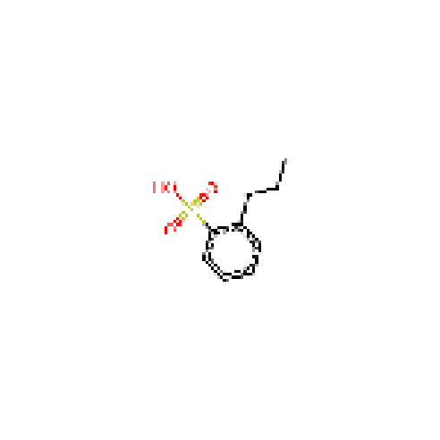 CC[CH]c1ccccc1S(=O)(=O)O